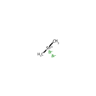 [Br-].[Br-].[CH3][Sn+2][CH3]